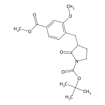 COC(=O)c1ccc(CC2CCN(C(=O)OC(C)(C)C)C2=O)c(OC)c1